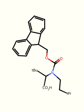 CC(C)CCN(C(=O)OCC1c2ccccc2-c2ccccc21)C(C(=O)O)C(C)(C)C